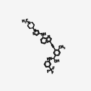 Cc1ccc(C(O)Nc2cccc(C(F)(F)F)c2)cc1C#Cc1cnc2c(Nc3cnn(C4CCN(C)CC4)c3)cccn12